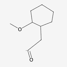 COC1CCCCC1C[C]=O